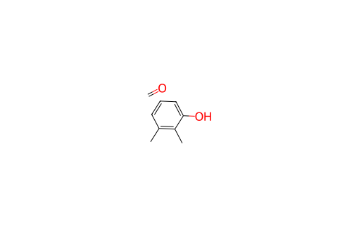 C=O.Cc1cccc(O)c1C